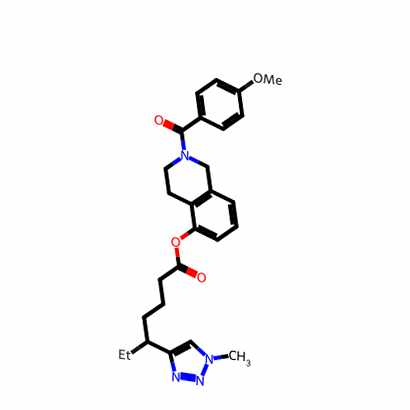 CCC(CCCC(=O)Oc1cccc2c1CCN(C(=O)c1ccc(OC)cc1)C2)c1cn(C)nn1